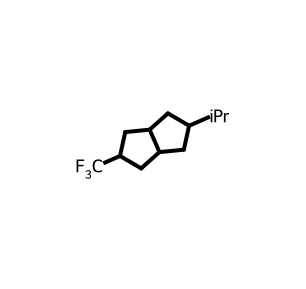 CC(C)C1CC2CC(C(F)(F)F)CC2C1